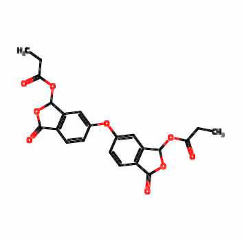 CCC(=O)OC1OC(=O)c2ccc(Oc3ccc4c(c3)C(OC(=O)CC)OC4=O)cc21